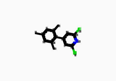 Cc1cc(C)c(-c2cc(Cl)nc(Cl)c2)c(C)c1